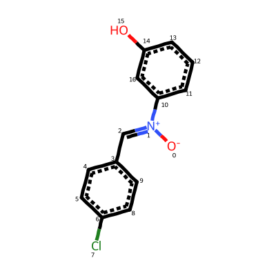 [O-][N+](=Cc1ccc(Cl)cc1)c1cccc(O)c1